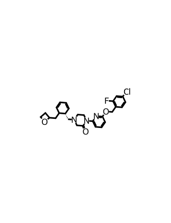 O=C1CN(C[C@H]2C=CC=CC2CC2CCO2)CCN1c1cccc(OCc2ccc(Cl)cc2F)n1